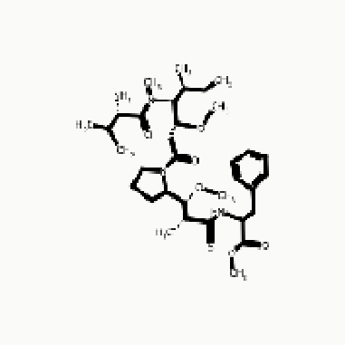 CC[C@H](C)[C@@H]([C@@H](CC(=O)N1CCCC1[C@H](OC)[C@@H](C)C(=S)NC(Cc1ccccc1)C(=O)OC)OC)N(C)C(=O)[C@@H](N)C(C)C